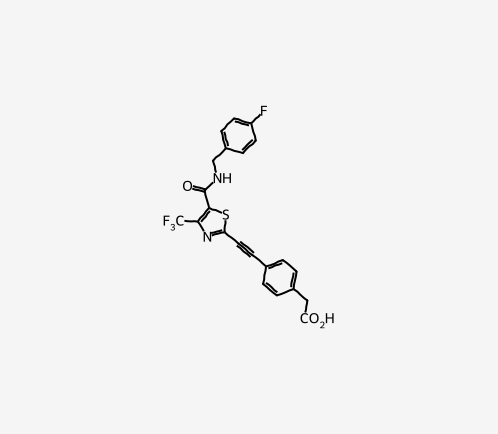 O=C(O)Cc1ccc(C#Cc2nc(C(F)(F)F)c(C(=O)NCc3ccc(F)cc3)s2)cc1